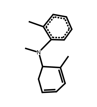 CC1=CC=CCC1N(C)c1ccccc1C